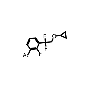 CC(=O)c1cccc(C(F)(F)COC2CC2)c1F